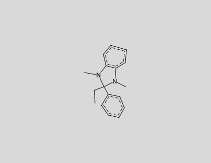 CCC1(c2ccccc2)N(C)c2ccccc2N1C